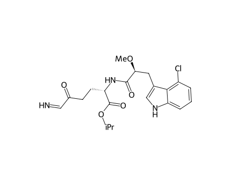 CO[C@@H](Cc1c[nH]c2cccc(Cl)c12)C(=O)N[C@@H](CCC(=O)C=N)C(=O)OC(C)C